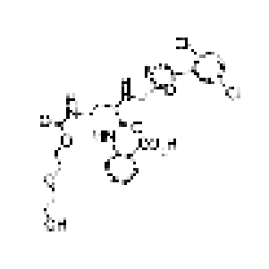 O=C(NCCC(NCc1ncc(-c2cc(Cl)ccc2Cl)o1)C(=O)Nc1ccccc1C(=O)O)OCCOCCO